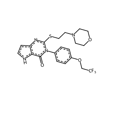 O=c1c2[nH]ccc2nc(SCCN2CCOCC2)n1-c1ccc(OCC(F)(F)F)cc1